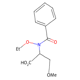 CCON(C(=O)c1ccccc1)C(COC)C(=O)O